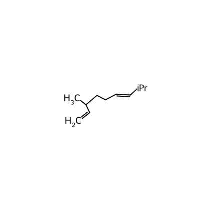 C=CC(C)CCC=CC(C)C